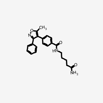 Cc1onc(-c2ccccc2)c1-c1ccc(C(=O)NCCCCC(N)=O)cc1